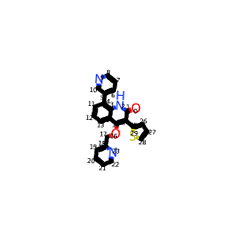 O=c1[nH]c2c(-c3cccnc3)cccc2c(OCc2ccccn2)c1-c1cccs1